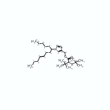 CCCCCCCC(CCCCC)n1cc(COC(=O)C(CC(C)(C)C)C(C)(C)C)nn1